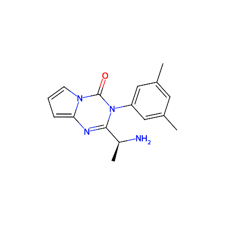 Cc1cc(C)cc(-n2c([C@H](C)N)nc3cccn3c2=O)c1